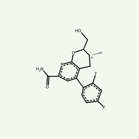 C[C@@H]1Cc2c(-c3ccc(F)cc3F)cc(C(N)=O)nc2OC1CO